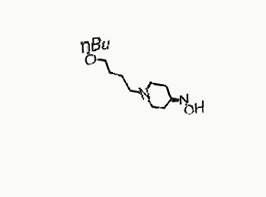 CCCCOCCCCN1CCC(=NO)CC1